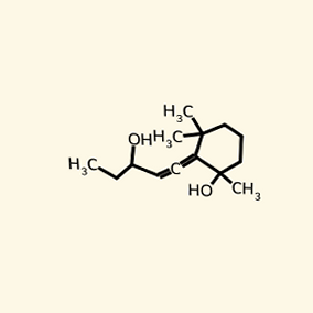 CCC(O)C=C=C1C(C)(C)CCCC1(C)O